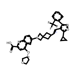 O=C(O)c1cc(O[C@@H]2CCOC2)c2cc(N3CC4(CC(/C=C/c5c(-c6ccccc6C(F)(F)F)noc5C5CC5)C4)C3)ccc2n1